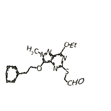 CCOc1nc(SCC=O)nc2c(OCCc3ccccc3)n(C)nc12